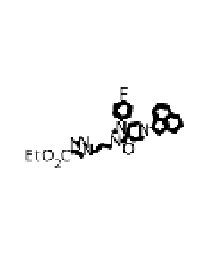 CCOC(=O)c1cn(CCCN2CN(c3ccc(F)cc3)C3(CCN([C@H]4Cc5cccc6cccc4c56)CC3)C2=O)nn1